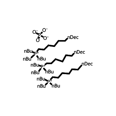 CCCCCCCCCCCCCCCC[P+](CCCC)(CCCC)CCCC.CCCCCCCCCCCCCCCC[P+](CCCC)(CCCC)CCCC.CCCCCCCCCCCCCCCC[P+](CCCC)(CCCC)CCCC.O=P([O-])([O-])[O-]